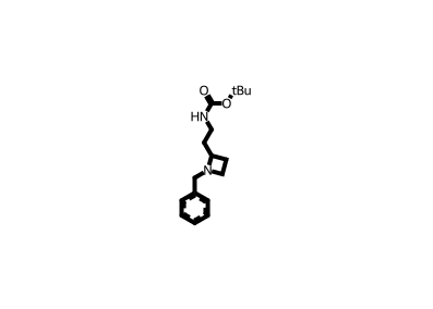 CC(C)(C)OC(=O)NCCC1CCN1Cc1ccccc1